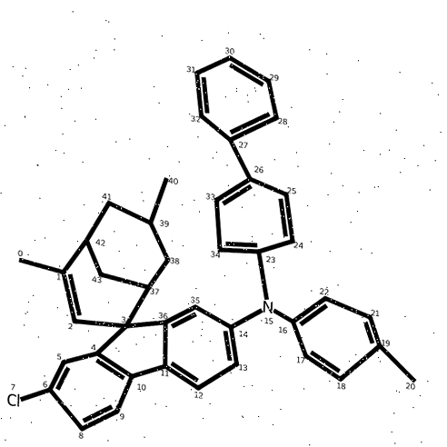 CC1=CC2(c3cc(Cl)ccc3-c3ccc(N(c4ccc(C)cc4)c4ccc(-c5ccccc5)cc4)cc32)C2CC(C)CC1C2